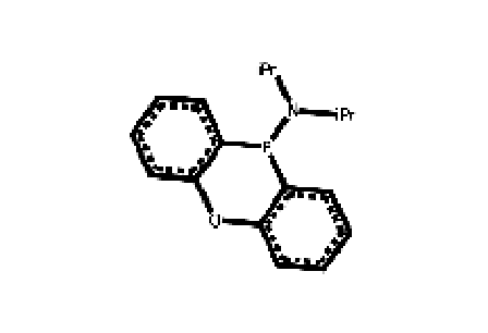 CC(C)N(C(C)C)P1c2ccccc2Oc2ccccc21